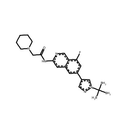 BC(B)(B)n1cc(-c2cc(F)c3cnc(NC(=O)CN4CCCCC4)cc3c2)cn1